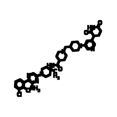 CC1(NC(=O)C2CCN(CC3CCN(c4cncc(C5CCC(=O)NC5=O)c4)CC3)CC2)CCN(c2cnc(-c3cccc(Cl)c3Cl)c(N)n2)CC1